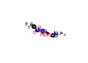 Cc1nc2cc(OC[C@H](O)CN3CCN(C4CC(=O)N(c5ccc(C(F)(F)F)cc5)C4=O)CC3)ccc2s1